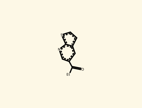 CCC(=O)c1cnc2sccc2c1